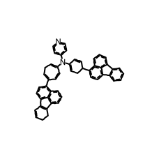 C1=CC2=C(CC1)c1cccc3c(C4=CCC=C(N(C5=CCC(c6ccc7c8c(cccc68)-c6ccccc6-7)C=C5)c5ccncc5)C=C4)ccc2c13